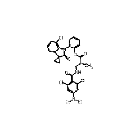 CCN(CC)c1cc(Cl)c(C(=O)NC[C@H](C)C(=O)Oc2ccccc2N2C(=O)C3(CC3)c3cccc(Cl)c32)c(Cl)c1